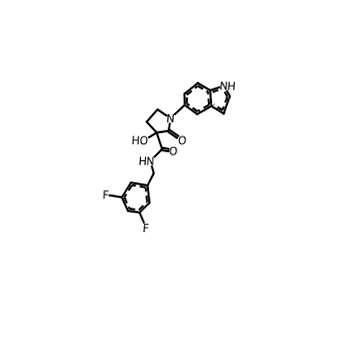 O=C(NCc1cc(F)cc(F)c1)C1(O)CCN(c2ccc3[nH]ccc3c2)C1=O